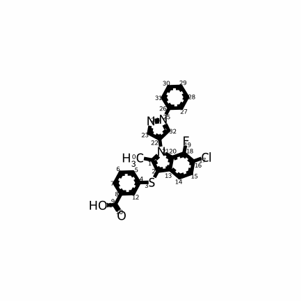 Cc1c(Sc2cccc(C(=O)O)c2)c2ccc(Cl)c(F)c2n1-c1cnn(-c2ccccc2)c1